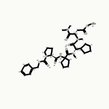 CN(C)C(=O)[C@H](CC(=O)OC(C)(C)C)N(C)C(=O)[C@H](C1CCCC1)N(C)C(=O)C1(NC(=O)[C@@H]2CCCN2C(=O)OCc2ccccc2)CCCC1